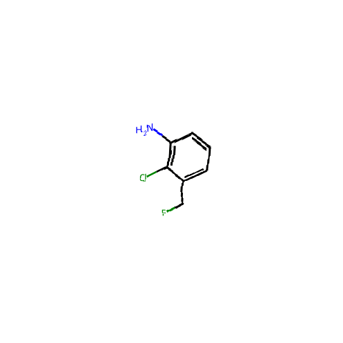 Nc1cccc(CF)c1Cl